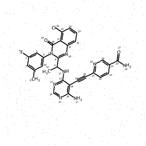 Cc1cc(F)cc(-n2c(C(C)Nc3ncnc(N)c3C#Cc3ccc(C(N)=O)cn3)nc3cccc(Cl)c3c2=O)c1